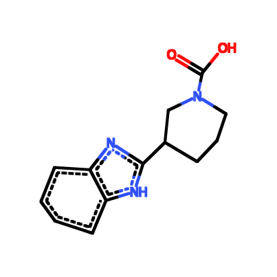 O=C(O)N1CCCC(c2nc3ccccc3[nH]2)C1